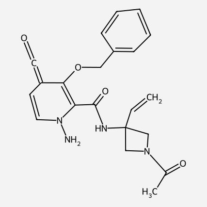 C=CC1(NC(=O)C2=C(OCc3ccccc3)C(=C=O)C=CN2N)CN(C(C)=O)C1